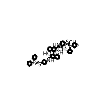 CC(Nc1ccc(SC(C)C(C)P(c2ccccc2)c2ccccc2)cc1)c1cc2ccccc2c(-c2c(O)c(CNc3ccc(SCCP(c4ccccc4)c4ccccc4)cc3)cc3ccccc23)c1O